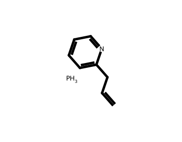 C=CCc1ccccn1.P